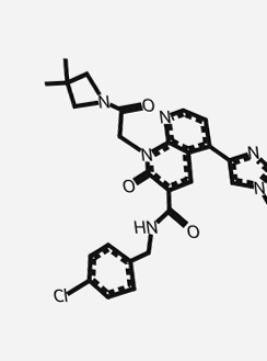 Cn1cnc(-c2ccnc3c2cc(C(=O)NCc2ccc(Cl)cc2)c(=O)n3CC(=O)N2CC(C)(C)C2)c1